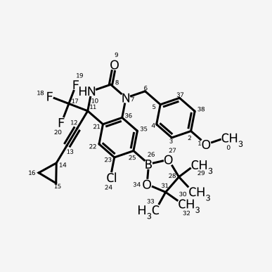 COc1ccc(CN2C(=O)NC(C#CC3CC3)(C(F)(F)F)c3cc(Cl)c(B4OC(C)(C)C(C)(C)O4)cc32)cc1